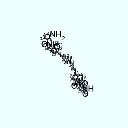 Cc1ccc(N)cc1C(=O)N[C@H](C)c1ccc(C#CC2CCN(CCCCCc3ccc4c5c(cccc35)N(C3CCC(=O)NC3=O)C4=O)CC2)c2ccccc12